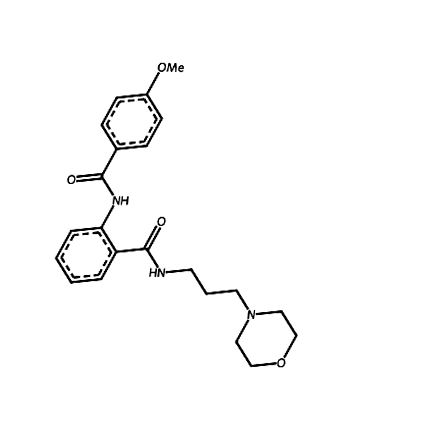 COc1ccc(C(=O)Nc2ccccc2C(=O)NCCCN2CCOCC2)cc1